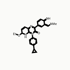 CCOC1C=Cc2nc(C3=C/C(=C/NC)C(=N)C=C3)c(=O)n(-c3ccc(C4CC4)cc3)c2N1